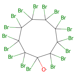 [O]C1(Br)C(Br)(Br)C(Br)(Br)C(Br)(Br)C(Br)(Br)C(Br)(Br)C(Br)(Br)C(Br)(Br)C1(Br)Br